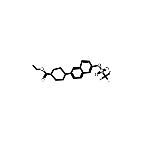 CCOC(=O)C1CCC(c2ccc3cc(OS(=O)(=O)C(F)(F)F)ccc3c2)CC1